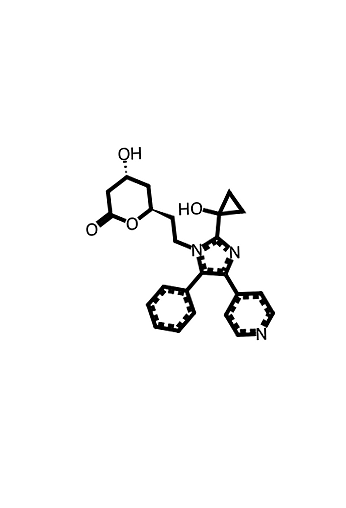 O=C1C[C@H](O)C[C@@H](CCn2c(C3(O)CC3)nc(-c3ccncc3)c2-c2ccccc2)O1